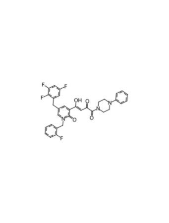 O=C(/C=C(\O)c1cc(Cc2cc(F)cc(F)c2F)cn(Cc2ccccc2F)c1=O)C(=O)N1CCN(c2ccccc2)CC1